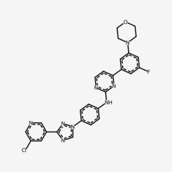 Fc1cc(-c2ccnc(Nc3ccc(-n4cnc(-c5cncc(Cl)c5)n4)cc3)n2)cc(N2CCOCC2)c1